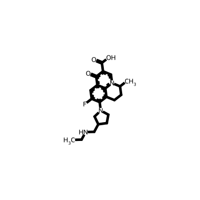 CCNCC1CCN(c2c(F)cc3c(=O)c(C(=O)O)cn4c3c2CCC4C)C1